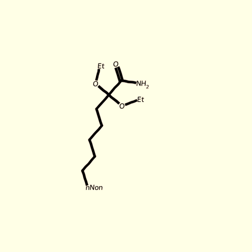 CCCCCCCCCCCCCCC(OCC)(OCC)C(N)=O